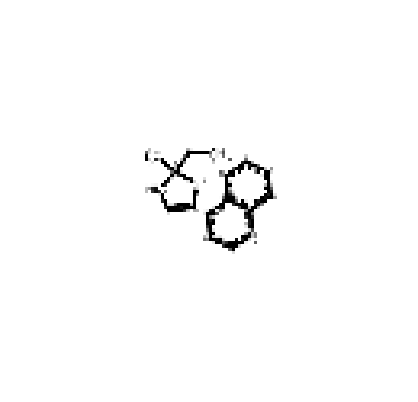 CCC1(C)NC=CS1.c1ccc2ncccc2c1